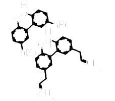 C=CCc1ccc(O)c(-c2cc(CC=C)ccc2O)c1.CCCCc1ccc(O)c(-c2cc(CCCC)ccc2O)c1